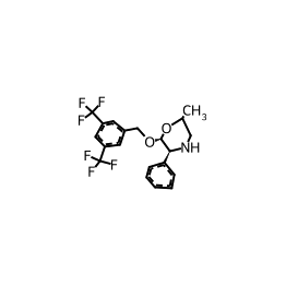 C[C@H]1CN[C@@H](c2ccccc2)[C@@H](OCc2cc(C(F)(F)F)cc(C(F)(F)F)c2)O1